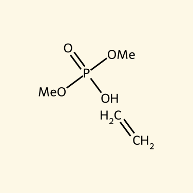 C=C.COP(=O)(O)OC